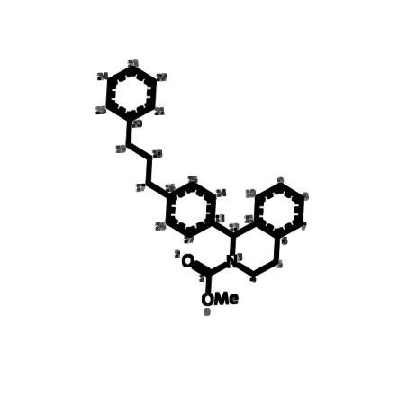 COC(=O)N1CCc2ccccc2C1c1ccc(CCCc2ccccc2)cc1